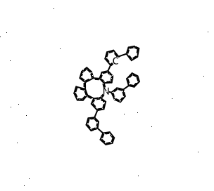 c1ccc(-c2cccc(-c3ccc4c(c3)c3ccccc3c3ccccc3c3cc(-c5cccc(-c6ccccc6)c5)ccc3n4-c3cccc(-c4ccccc4)c3)c2)cc1